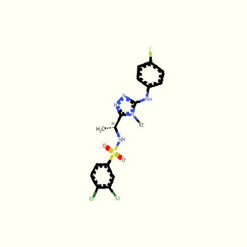 CCn1c(Nc2ccc(F)cc2)nnc1[C@@H](C)NS(=O)(=O)c1ccc(Cl)c(Cl)c1